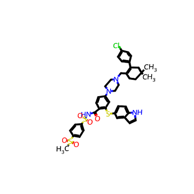 CC1(C)CCC(CN2CCN(c3ccc(C(=O)NS(=O)(=O)c4ccc(S(C)(=O)=O)cc4)c(Sc4ccc5[nH]ccc5c4)c3)CC2)=C(c2ccc(Cl)cc2)C1